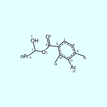 CCCC(O)OC(=O)c1ccc(C)c(C(C)=O)c1C